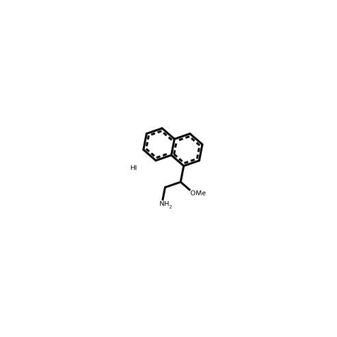 COC(CN)c1cccc2ccccc12.I